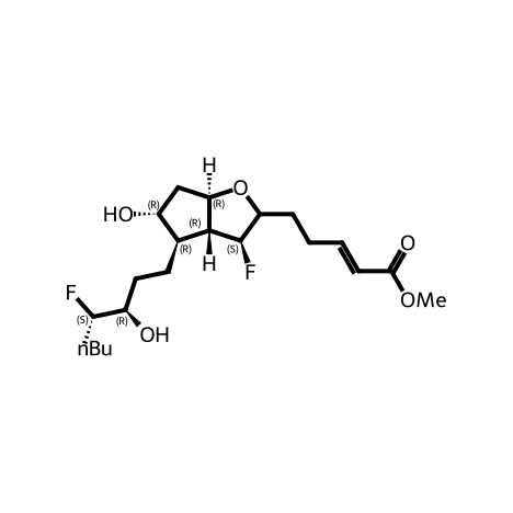 CCCC[C@H](F)[C@H](O)CC[C@@H]1[C@H]2[C@H](F)C(CCC=CC(=O)OC)O[C@@H]2C[C@H]1O